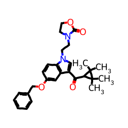 CC1(C)C(C(=O)c2cn(CCN3CCOC3=O)c3ccc(OCc4ccccc4)cc23)C1(C)C